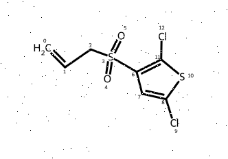 C=CCS(=O)(=O)c1cc(Cl)sc1Cl